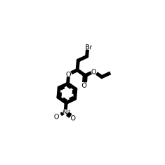 CCOC(=O)C(CCBr)Oc1ccc([N+](=O)[O-])cc1